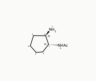 CC(=O)N[C@@H]1CCCC[C@H]1N